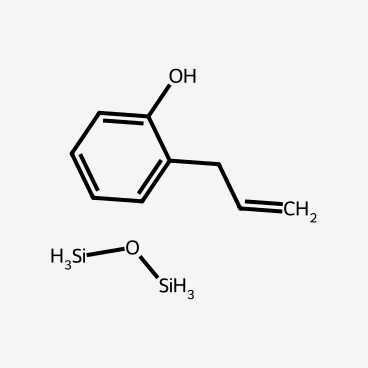 C=CCc1ccccc1O.[SiH3]O[SiH3]